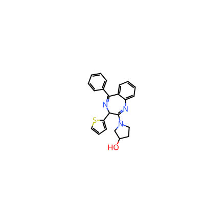 OC1CCN(C2=Nc3ccccc3C(c3ccccc3)=NC2c2cccs2)C1